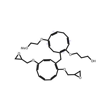 COCCOC1=C/C/C(Cc2ccc(OCC3CO3)cccccc2OCC2CO2)=C(OCCCO)\C=C/C/C=C\1